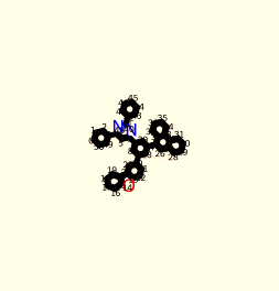 c1ccc(-c2cc(-c3cc(-c4ccc5oc6ccccc6c5c4)cc(-c4cc5ccccc5c5ccccc45)c3)nc(-c3ccccc3)n2)cc1